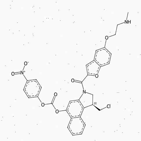 CNCCOc1ccc2oc(C(=O)N3C[C@@H](CCl)c4c3cc(OC(=O)Oc3ccc([N+](=O)[O-])cc3)c3ccccc43)cc2c1